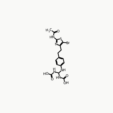 CC(=O)Nc1nc(CCc2ccc(NC(NC(=O)O)NC(=O)O)cc2)c(Br)s1